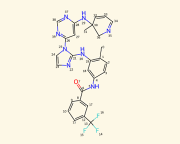 Cc1ccc(NC(=O)c2cccc(C(F)(F)F)c2)cc1Nc1nccn1-c1cc(NC2(C)C=CC=NC2)ncn1